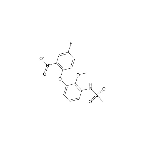 COc1c(NS(C)(=O)=O)cccc1Oc1ccc(F)cc1[N+](=O)[O-]